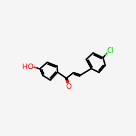 O=C(C=Cc1ccc(Cl)cc1)c1ccc(O)cc1